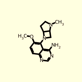 COc1ccc2ncnc(N)c2c1N1CC2C1CCN2C